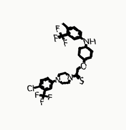 Cc1ccc(NC2CCC(OCC(=S)N3CCN(c4ccc(Cl)c(C(F)(F)F)c4)CC3)CC2)cc1C(F)(F)F